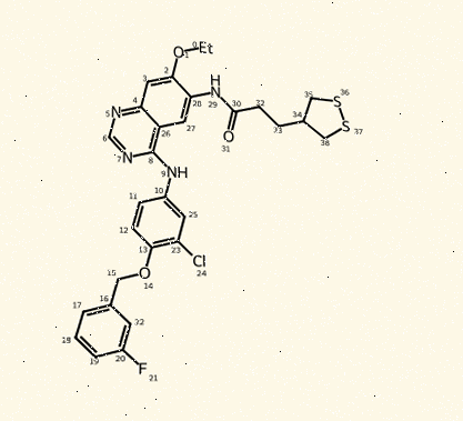 CCOc1cc2ncnc(Nc3ccc(OCc4cccc(F)c4)c(Cl)c3)c2cc1NC(=O)CCC1CSSC1